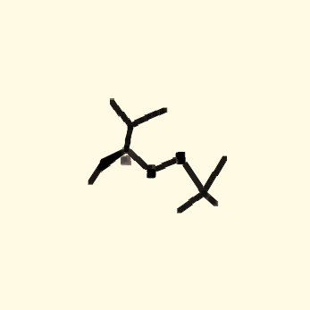 CC[C@H](SSC(C)(C)C)C(C)C